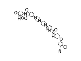 N#Cc1ccc(O[C@H]2CC[C@H](NC(=O)c3ccc(N4CCC(N5CCN(c6ccc7c(c6)C(=O)N(C6CCC(=O)NC6=O)C7=O)CC5)CC4)nn3)CC2)cc1Cl